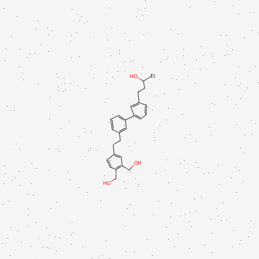 CCC(O)CCc1cccc(-c2cccc(CCc3ccc(CO)c(CO)c3)c2)c1